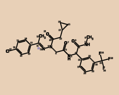 CNC(=O)C(NC(=O)CN(/N=C(\C)c1ccc(Cl)cc1)C(=O)CC1CC1)c1cccc(C(F)(F)F)c1